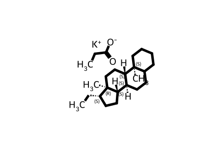 CCC(=O)[O-].CC[C@H]1CC[C@H]2[C@@H]3CCC4CCCC[C@]4(C)[C@H]3CC[C@]12C.[K+]